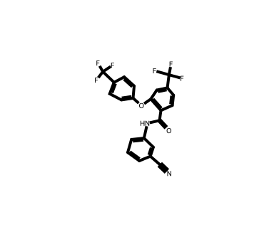 N#Cc1cccc(NC(=O)c2ccc(C(F)(F)F)cc2Oc2ccc(C(F)(F)F)cc2)c1